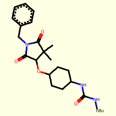 CCCCNC(=O)NC1CCC(OC2C(=O)N(Cc3ccccc3)C(=O)C2(C)C)CC1